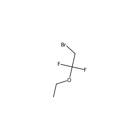 CCOC(F)(F)CBr